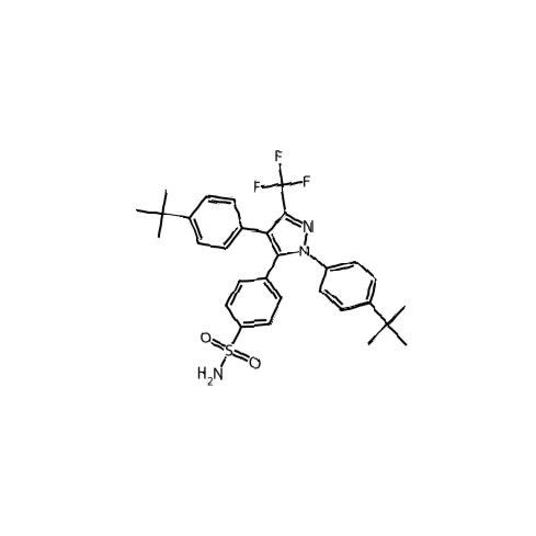 CC(C)(C)c1ccc(-c2c(C(F)(F)F)nn(-c3ccc(C(C)(C)C)cc3)c2-c2ccc(S(N)(=O)=O)cc2)cc1